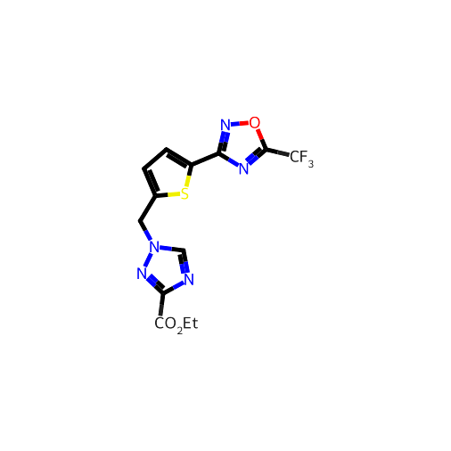 CCOC(=O)c1ncn(Cc2ccc(-c3noc(C(F)(F)F)n3)s2)n1